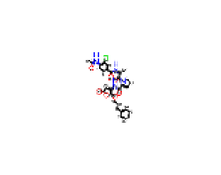 CC(=O)Nc1ccc(C(=O)N[C@@H](C)C(=O)N2CCC[C@H]2C(=O)N[C@H]2CC(=O)O[C@H]2OCCCc2ccccc2)cc1Cl